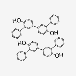 Oc1ccc(-c2ccc(O)c(-c3ccccc3)c2)cc1-c1ccccc1.Oc1ccc(-c2ccc(O)c(-c3ccccc3)c2)cc1-c1ccccc1